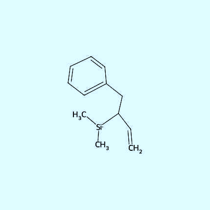 C=CC(Cc1ccccc1)[Si](C)C